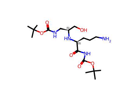 CC(C)(C)OC(=O)NC[C@@H](CO)N[C@@H](CCCN)C(=O)NC(=O)OC(C)(C)C